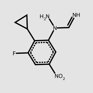 N=CN(N)c1cc([N+](=O)[O-])cc(F)c1C1CC1